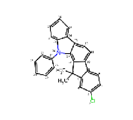 CC1(C)c2cc(Cl)ccc2-c2ccc3c4ccccc4n(-c4ccccc4)c3c21